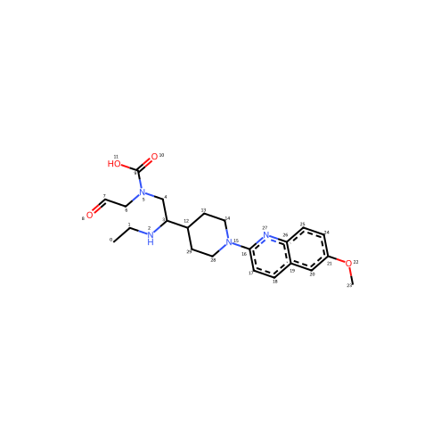 CCNC(CN(CC=O)C(=O)O)C1CCN(c2ccc3cc(OC)ccc3n2)CC1